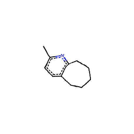 Cc1ccc2c(n1)CCCCC2